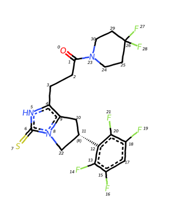 O=C(CCc1[nH]c(=S)n2c1C[C@H](c1c(F)c(F)cc(F)c1F)C2)N1CCC(F)(F)CC1